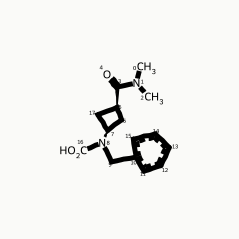 CN(C)C(=O)[C@H]1C[C@H](N(Cc2ccccc2)C(=O)O)C1